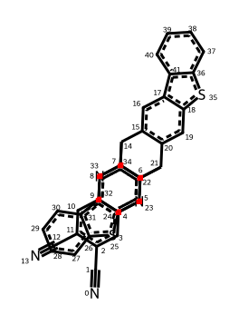 N#Cc1cc2nc3c(nc2cc1C#N)C1c2cc4c(cc2C3c2cc3sc5ccccc5c3cc21)sc1ccccc14